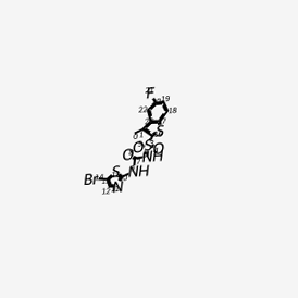 Cc1c(S(=O)(=O)NC(=O)Nc2ncc(Br)s2)sc2ccc(F)cc12